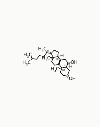 CC(C)CCC[C@@H](C)[C@H]1CC[C@H]2C3=C(CC[C@]12C)[C@@]1(C)CC[C@H](O)C[C@@H]1[C@@H](O)C3